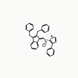 [O-][S+](C=C1C(Cc2ccccc2)=C(Cc2ccccc2)c2ccccc21)c1sccc1-c1ccccc1